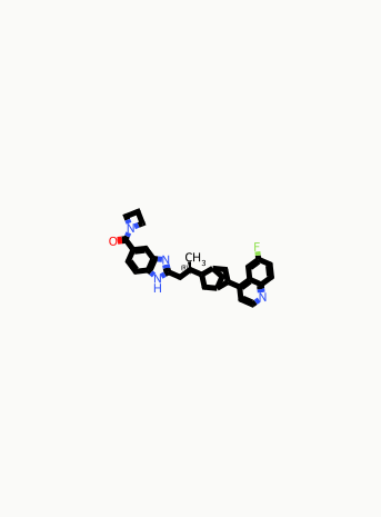 C[C@H](Cc1nc2cc(C(=O)N3CCC3)ccc2[nH]1)C1CC2CC1CC2c1ccnc2ccc(F)cc12